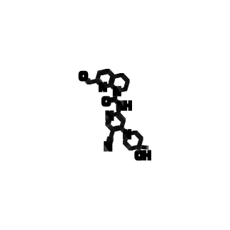 CC1(O)CCN(c2cc(NC(=O)N3CCCc4ccc(C=O)nc43)ncc2C#N)CC1